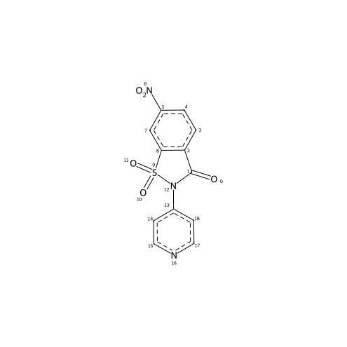 O=C1c2ccc([N+](=O)[O-])cc2S(=O)(=O)N1c1ccncc1